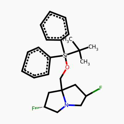 CC(C)(C)[Si](OCC12CC(F)CN1C[C@H](F)C2)(c1ccccc1)c1ccccc1